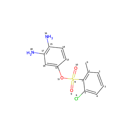 Cc1cccc(Cl)c1S(=O)(=O)Oc1ccc(N)c(N)c1